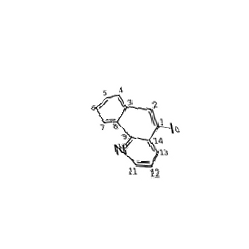 Ic1cc2ccccc2c2ncccc12